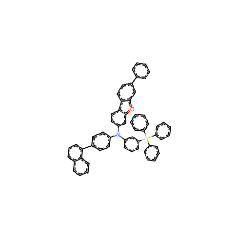 c1ccc(-c2ccc3c(c2)oc2cc(N(c4ccc(-c5cccc6ccccc56)cc4)c4cccc(S(c5ccccc5)(c5ccccc5)c5ccccc5)c4)ccc23)cc1